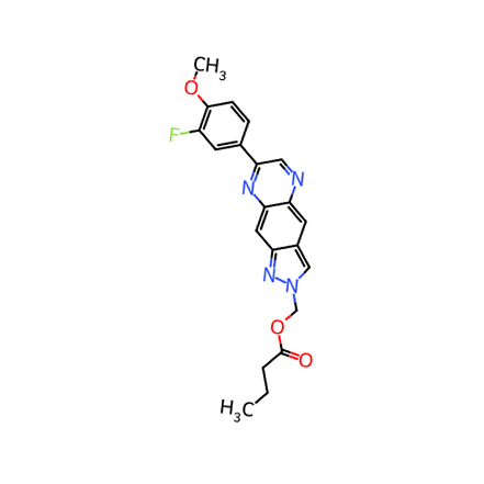 CCCC(=O)OCn1cc2cc3ncc(-c4ccc(OC)c(F)c4)nc3cc2n1